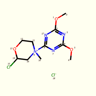 COc1nc(OC)nc([N+]2(C)CCOC(Cl)C2)n1.[Cl-]